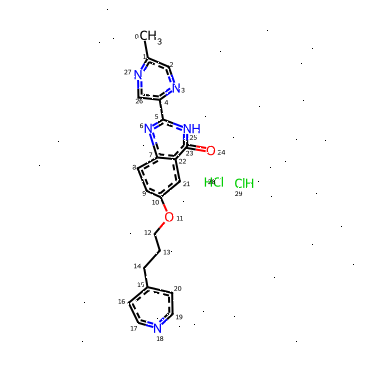 Cc1cnc(-c2nc3ccc(OCCCc4ccncc4)cc3c(=O)[nH]2)cn1.Cl.Cl